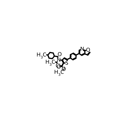 COC(=O)c1sc(-c2ccc(-c3cnc4occc4c3)cc2)cc1N(C(=O)C1CCC(C)CC1)C(C)C